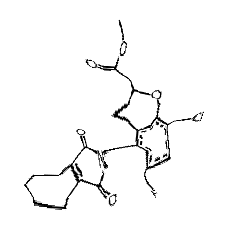 COC(=O)C1Cc2c(c(Cl)cc(F)c2N2C(=O)C3=C(CCCC3)C2=O)O1